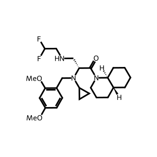 COc1ccc(CN(C2CC2)[C@H](CNCC(F)F)C(=O)N2CCC[C@H]3CCCC[C@@H]32)c(OC)c1